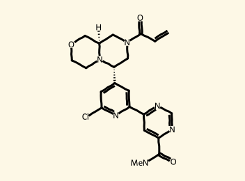 C=CC(=O)N1C[C@@H]2COCCN2[C@@H](c2cc(Cl)nc(-c3cc(C(=O)NC)ncn3)c2)C1